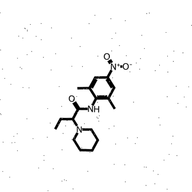 CCC(C(=O)Nc1c(C)cc([N+](=O)[O-])cc1C)N1CCCCC1